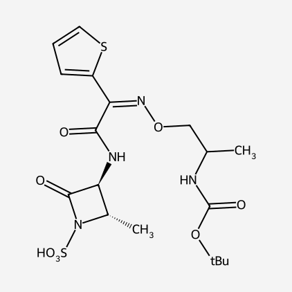 CC(CON=C(C(=O)N[C@@H]1C(=O)N(S(=O)(=O)O)[C@H]1C)c1cccs1)NC(=O)OC(C)(C)C